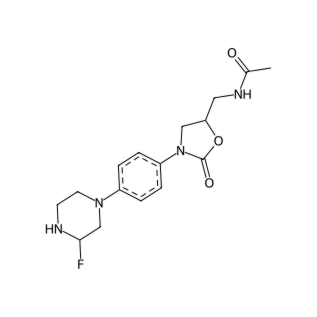 CC(=O)NCC1CN(c2ccc(N3CCNC(F)C3)cc2)C(=O)O1